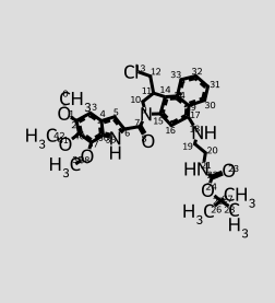 COc1cc2cc(C(=O)N3CC(CCl)c4c3cc(NCCNC(=O)OC(C)(C)C)c3ccccc43)[nH]c2c(OC)c1OC